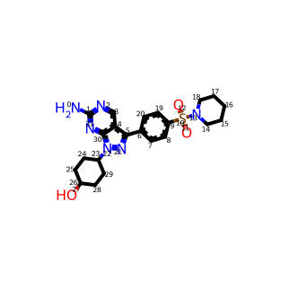 Nc1ncc2c(-c3ccc(S(=O)(=O)N4CCCCC4)cc3)nn(C3CCC(O)CC3)c2n1